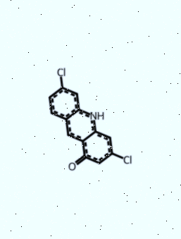 O=c1cc(Cl)cc2[nH]c3cc(Cl)ccc3cc1-2